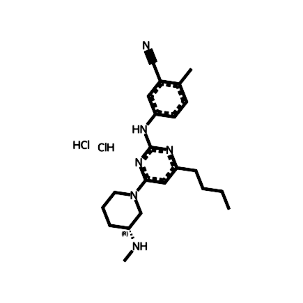 CCCCc1cc(N2CCC[C@@H](NC)C2)nc(Nc2ccc(C)c(C#N)c2)n1.Cl.Cl